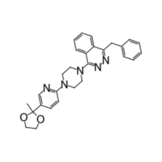 CC1(c2ccc(N3CCN(c4nnc(Cc5ccccc5)c5ccccc45)CC3)nc2)OCCO1